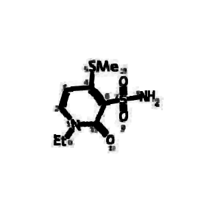 CCn1ccc(SC)c(S(N)(=O)=O)c1=O